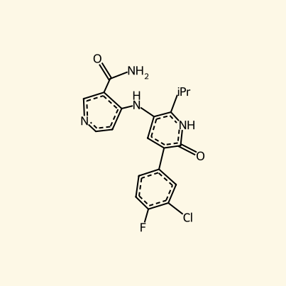 CC(C)c1[nH]c(=O)c(-c2ccc(F)c(Cl)c2)cc1Nc1ccncc1C(N)=O